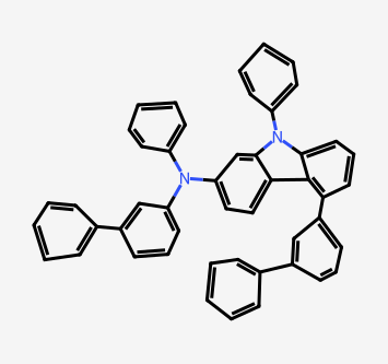 c1ccc(-c2cccc(-c3cccc4c3c3ccc(N(c5ccccc5)c5cccc(-c6ccccc6)c5)cc3n4-c3ccccc3)c2)cc1